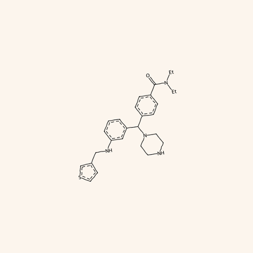 CCN(CC)C(=O)c1ccc(C(c2cccc(NCc3ccsc3)c2)N2CCNCC2)cc1